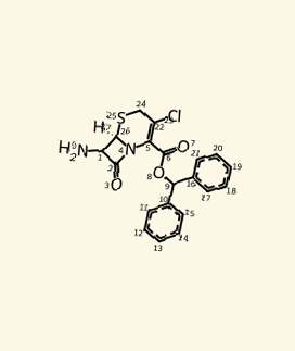 NC1C(=O)N2C(C(=O)OC(c3ccccc3)c3ccccc3)=C(Cl)CS[C@H]12